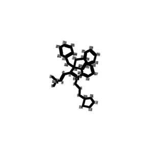 CN(C)/C=C/C1=[N+](CCCC2CCCC2)c2ccccc2C1(Cc1ccccc1)Cc1ccccc1